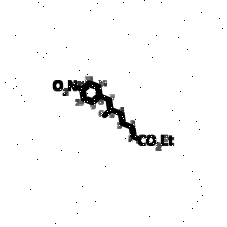 CCOC(=O)/C=C/C=C/C(C)=C/c1ccc([N+](=O)[O-])cc1